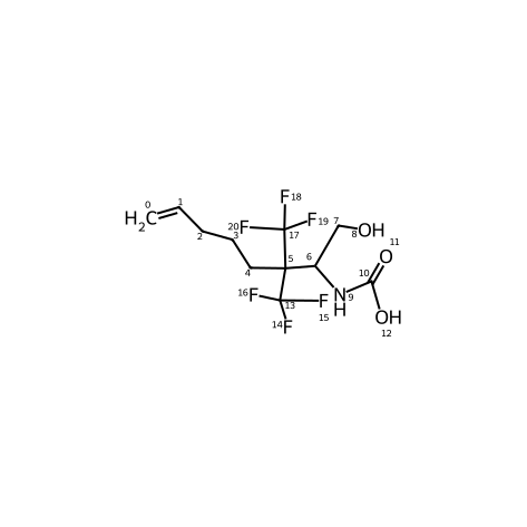 C=CCCCC(C(CO)NC(=O)O)(C(F)(F)F)C(F)(F)F